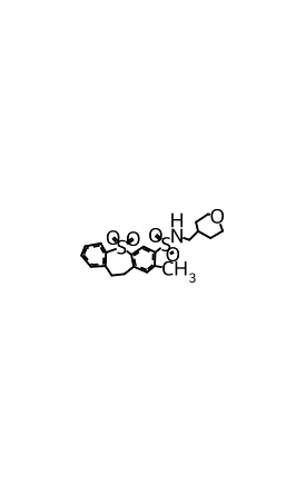 Cc1cc2c(cc1S(=O)(=O)NCC1CCOCC1)S(=O)(=O)c1ccccc1CC2